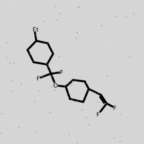 CCC1CCC(C(F)(F)OC2CCC(C=C(F)F)CC2)CC1